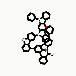 O=c1c2ccccc2c2cc(-c3cccc4oc5ccc(-n6c7ccccc7c7cc8c9ccccc9n(-c9ccccc9)c8cc76)cc5c34)cc3c4cc(-c5ccccc5)ccc4n1c23